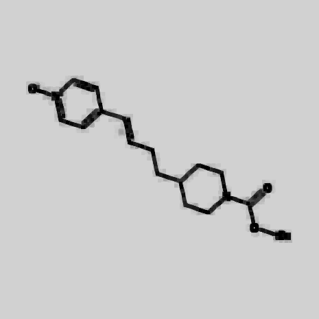 CC(C)(C)OC(=O)N1CCC(CC/C=C/c2cc[n+]([O-])cc2)CC1